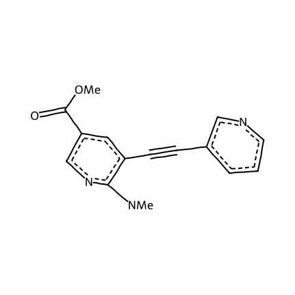 CNc1ncc(C(=O)OC)cc1C#Cc1cccnc1